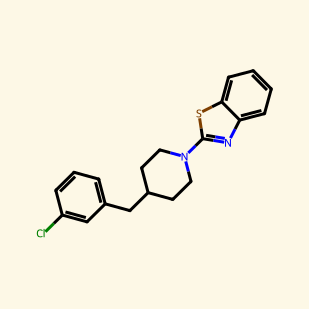 Clc1cccc(CC2CCN(c3nc4ccccc4s3)CC2)c1